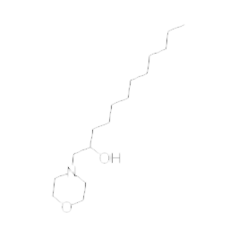 CCCCCCCCCCC(O)CN1CCOCC1